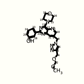 COCOCc1cn(Cc2cnc3c(N4CCOCC4)nc(-c4cccc(O)c4)nc3c2)nn1